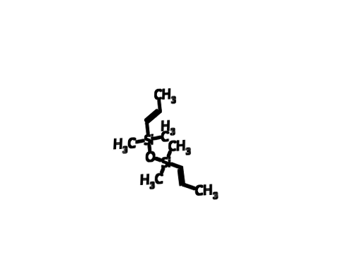 C/C=C/[Si](C)(C)O[Si](C)(C)/C=C/C